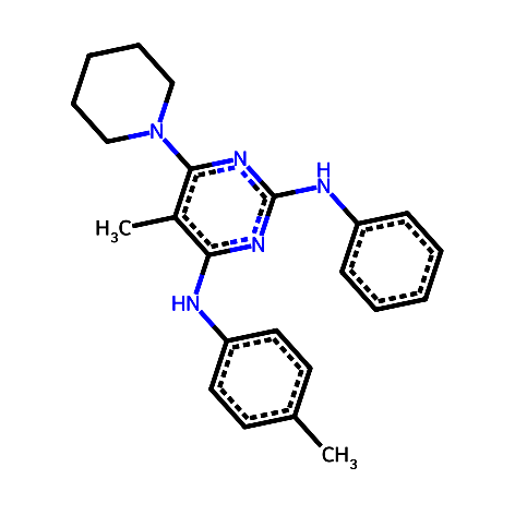 Cc1ccc(Nc2nc(Nc3ccccc3)nc(N3CCCCC3)c2C)cc1